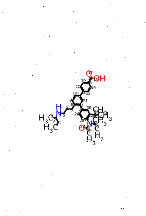 CCC(C)NCCCc1ccc(-c2ccc(C(=O)O)cc2)cc1-c1ccc(N(CC)C(C)=O)c(C(C)(C)C)c1